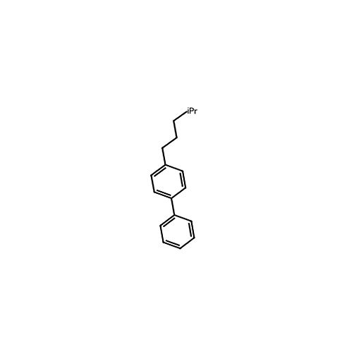 CC(C)CCCc1ccc(-c2ccccc2)cc1